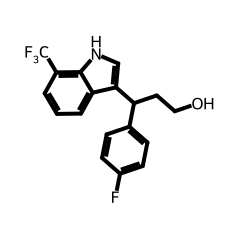 OCCC(c1ccc(F)cc1)c1c[nH]c2c(C(F)(F)F)cccc12